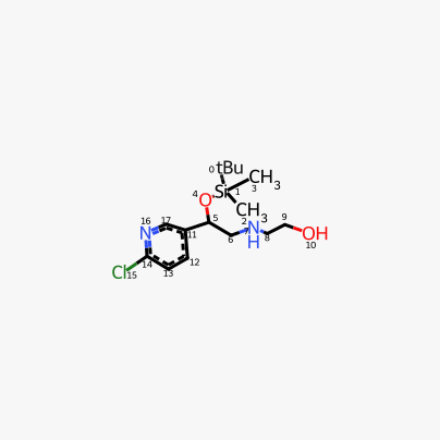 CC(C)(C)[Si](C)(C)OC(CNCCO)c1ccc(Cl)nc1